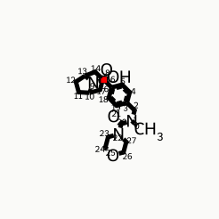 CN(Cc1ccc(C(=O)N2C3CCC2CC(O)C3)cc1)C(=O)N1CCOCC1